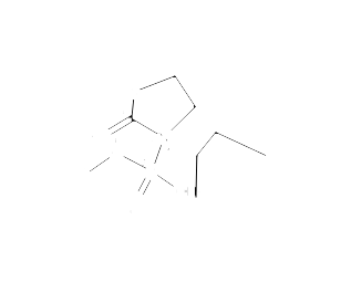 CCC(C)[N@@+]1(P(=O)(O)OC)CCSC1=O